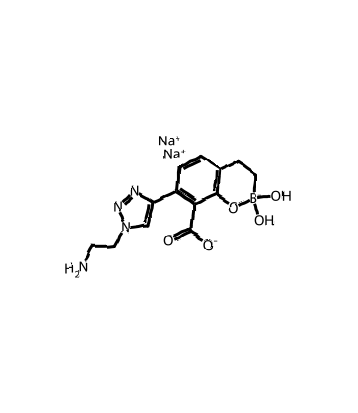 NCCn1cc(-c2ccc3c(c2C(=O)[O-])O[B-](O)(O)CC3)nn1.[Na+].[Na+]